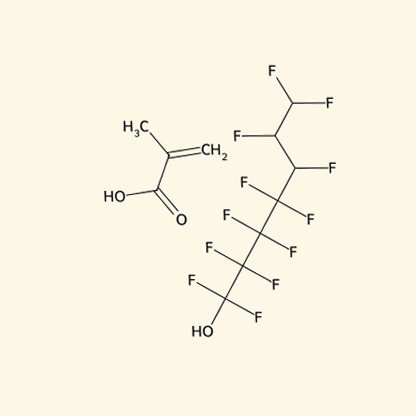 C=C(C)C(=O)O.OC(F)(F)C(F)(F)C(F)(F)C(F)(F)C(F)C(F)C(F)F